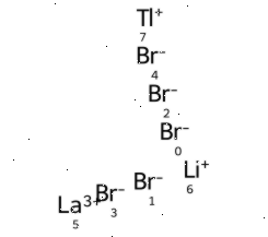 [Br-].[Br-].[Br-].[Br-].[Br-].[La+3].[Li+].[Tl+]